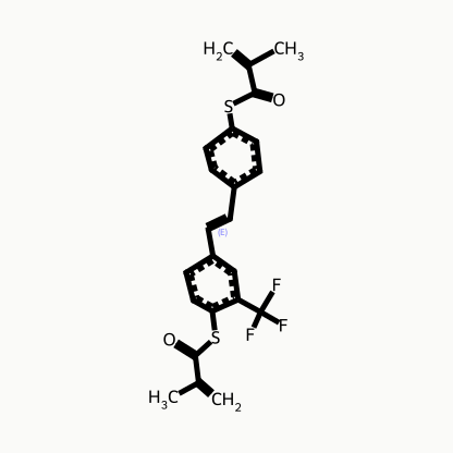 C=C(C)C(=O)Sc1ccc(/C=C/c2ccc(SC(=O)C(=C)C)c(C(F)(F)F)c2)cc1